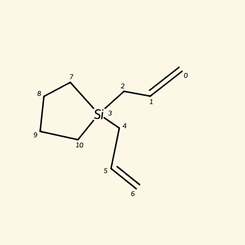 C=CC[Si]1(CC=C)CCCC1